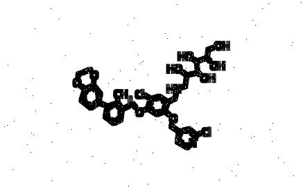 Cc1c(COc2cc(OCc3ccnc(Cl)c3)c(CNCC(O)C(O)C(O)C(O)CO)cc2Cl)cccc1-c1ccc2c(c1)OCCO2